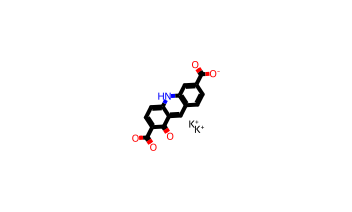 O=C([O-])c1ccc2cc3c(=O)c(C(=O)[O-])ccc-3[nH]c2c1.[K+].[K+]